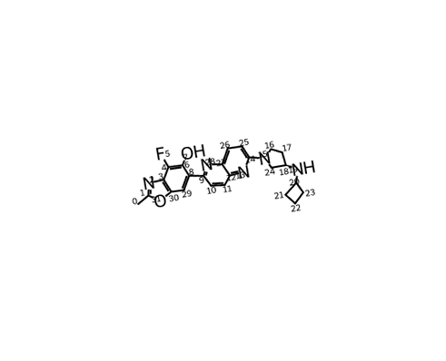 Cc1nc2c(F)c(O)c(-c3ccc4nc(N5CC[C@@H](NC6CCC6)C5)ccc4n3)cc2o1